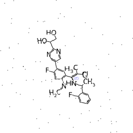 C=Nc1cc(F)c(-c2cnc(C(O)CO)nc2)cc1/C(NC(C)c1ccccc1F)=C(\C)Cl